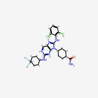 NC(=O)[C@H]1CC[C@@H](n2c(Nc3c(Cl)cccc3Cl)nc3cnc(NC4CCC(F)(F)CC4)nc32)CC1